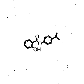 C=C(C)c1ccc(OC(=O)c2ccccc2O)cc1